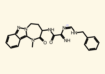 CN1C(=O)C(NC(=O)C(=N)/N=C\NCc2ccccc2)CCn2nc3ccccc3c21